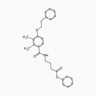 Cc1c(OCCc2ccccc2)ccc(C(=O)NCCCC(=O)Oc2ccccc2)c1C